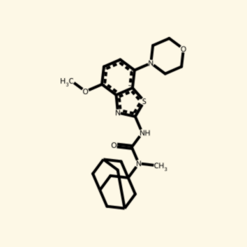 COc1ccc(N2CCOCC2)c2sc(NC(=O)N(C)C34CC5CC(CC(C5)C3)C4)nc12